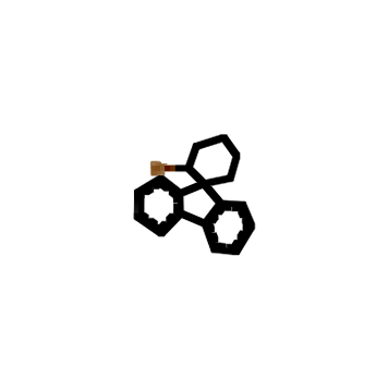 BrC1CCCCC12c1ccccc1-c1ccccc12